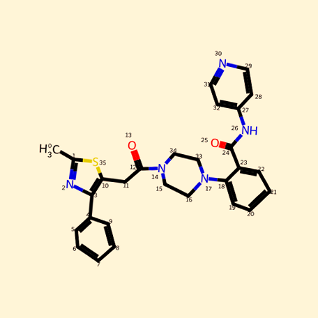 Cc1nc(-c2ccccc2)c(CC(=O)N2CCN(c3ccccc3C(=O)Nc3ccncc3)CC2)s1